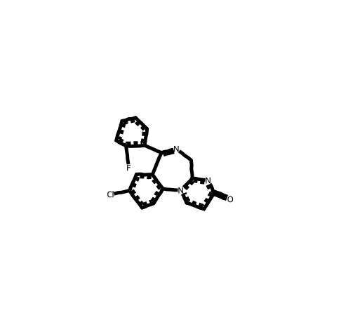 O=c1ccn2c(n1)CN=C(c1ccccc1F)c1cc(Cl)ccc1-2